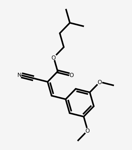 COc1cc(C=C(C#N)C(=O)OCCC(C)C)cc(OC)c1